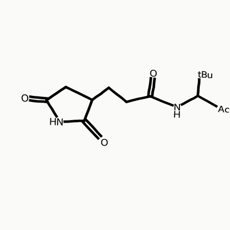 CC(=O)C(NC(=O)CCC1CC(=O)NC1=O)C(C)(C)C